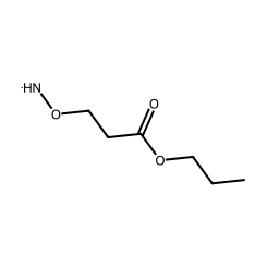 CCCOC(=O)CCO[NH]